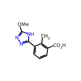 COc1nnc(-c2cccc(C(=O)O)c2C)[nH]1